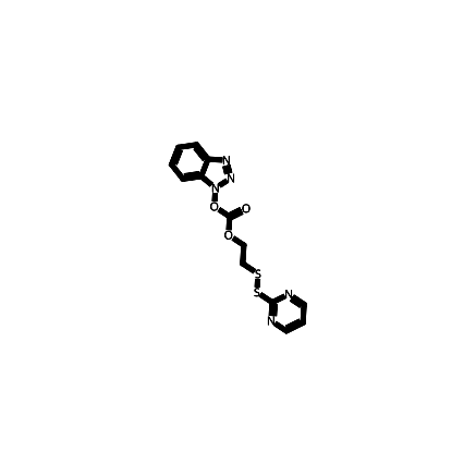 O=C(OCCSSc1ncccn1)On1nnc2ccccc21